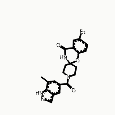 CCc1ccc2c(c1)C(=O)NC1(CCN(C(=O)c3cc(C)c4[nH]ncc4c3)CC1)O2